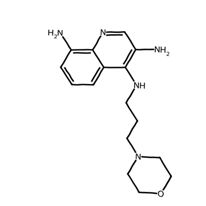 Nc1cnc2c(N)cccc2c1NCCCN1CCOCC1